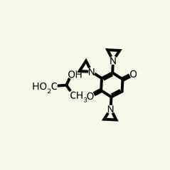 CC(O)C(=O)O.O=C1C=C(N2CC2)C(=O)C(N2CC2)=C1N1CC1